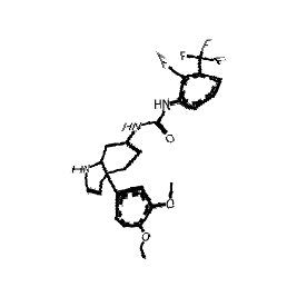 COc1ccc(C23CCNC2CC(NC(=O)Nc2cccc(C(F)(F)F)c2F)CC3)cc1OC